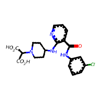 O=C(Nc1cccc(Cl)c1)c1cccnc1NC1CCN(C(C(=O)O)C(=O)O)CC1